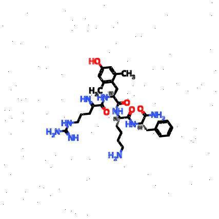 Cc1cc(O)cc(C)c1C[C@H](NC(=O)C(=N)CCCNC(=N)N)C(=O)N[C@@H](CCCCN)C(=O)N[C@@H](Cc1ccccc1)C(N)=O